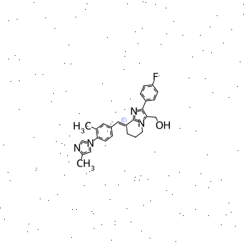 Cc1cn(-c2ccc(/C=C3\CCCn4c3nc(-c3ccc(F)cc3)c4CO)cc2C)cn1